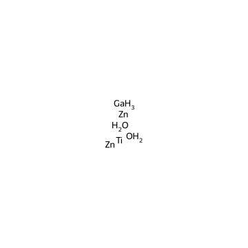 O.O.[GaH3].[Ti].[Zn].[Zn]